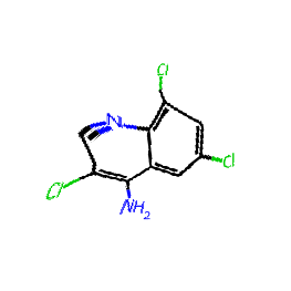 Nc1c(Cl)cnc2c(Cl)cc(Cl)cc12